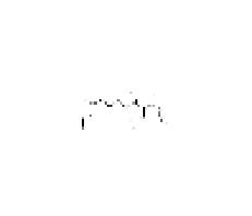 C=CCC(C)CCCCC(O)C(CS)C(C)/C=C/C